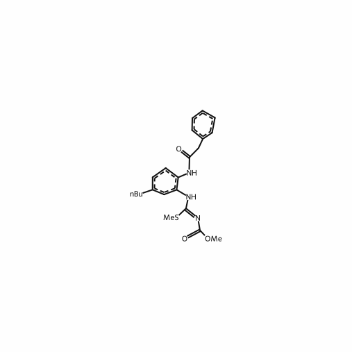 CCCCc1ccc(NC(=O)Cc2ccccc2)c(N/C(=N/C(=O)OC)SC)c1